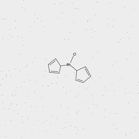 [Cl][Rh]([CH]1C=CC=C1)[CH]1C=CC=C1